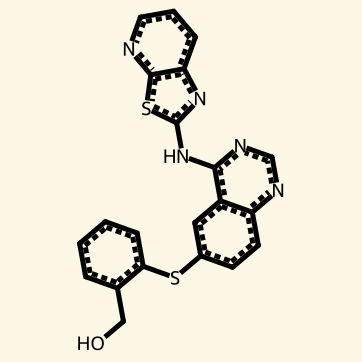 OCc1ccccc1Sc1ccc2ncnc(Nc3nc4cccnc4s3)c2c1